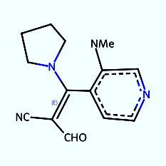 CNc1cnccc1/C(=C(/C#N)C=O)N1CCCC1